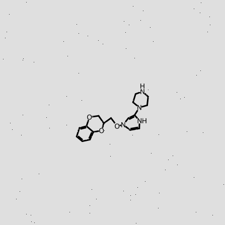 C1=CN(OCC2COc3ccccc3O2)C=C(N2CCNCC2)N1